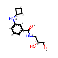 O=C(NC[C@@H](O)CO)c1cccc(NC2CCC2)c1